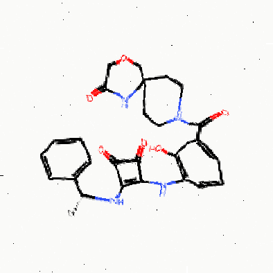 CC[C@@H](Nc1c(Nc2cccc(C(=O)N3CCC4(CC3)COCC(=O)N4)c2O)c(=O)c1=O)c1ccccc1